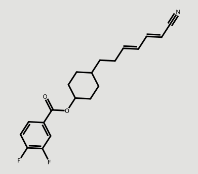 N#CC=CC=CCCC1CCC(OC(=O)c2ccc(F)c(F)c2)CC1